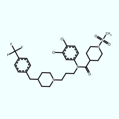 CS(=O)(=O)N1CCC(C(=O)N(CCCN2CCC(Cc3ccc(C(F)(F)F)cc3)CC2)c2ccc(Cl)c(Cl)c2)CC1